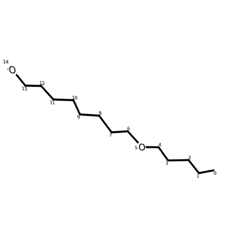 CCCCCOCCCCCCCC[O]